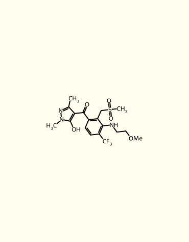 COCCNc1c(C(F)(F)F)ccc(C(=O)c2c(C)nn(C)c2O)c1CS(C)(=O)=O